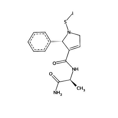 C[C@H](NC(=O)C1=CCN(SI)[C@H]1c1ccccc1)C(N)=O